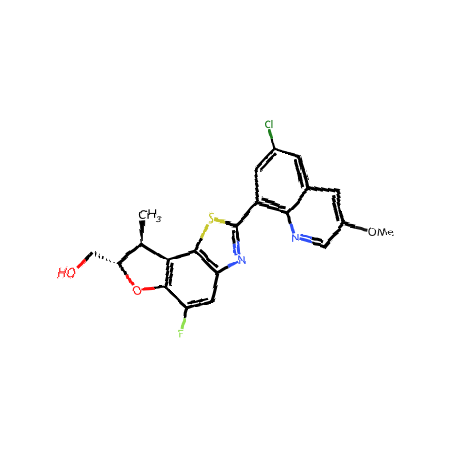 COc1cnc2c(-c3nc4cc(F)c5c(c4s3)[C@H](C)[C@@H](CO)O5)cc(Cl)cc2c1